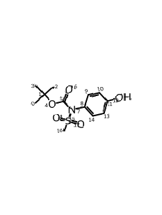 CC(C)(C)OC(=O)N(c1ccc(O)cc1)S(C)(=O)=O